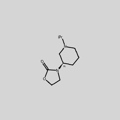 CC(C)N1CCC[C@@H](N2CCOC2=O)C1